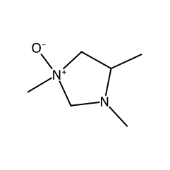 CC1C[N+](C)([O-])CN1C